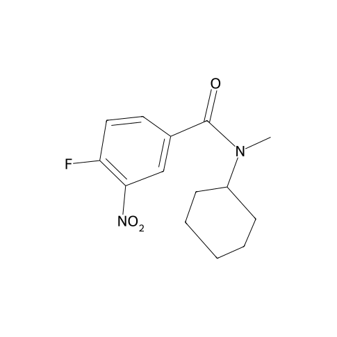 CN(C(=O)c1ccc(F)c([N+](=O)[O-])c1)C1CCCCC1